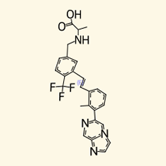 Cc1c(/C=C/c2cc(CNC(C)C(=O)O)ccc2C(F)(F)F)cccc1-c1cn2ccnc2cn1